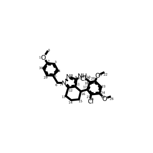 COc1ccc(Cn2nc(N)c3c2CCCC3c2c(Cl)c(OC)cc(OC)c2Cl)cc1